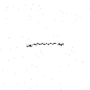 CCCCCCCCCCCCCCCC/C=C/[C]=O